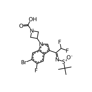 CC(C)(C)[S+]([O-])N=C(c1cn(C2CN(C(=O)O)C2)c2cc(Br)c(F)cc12)C(F)F